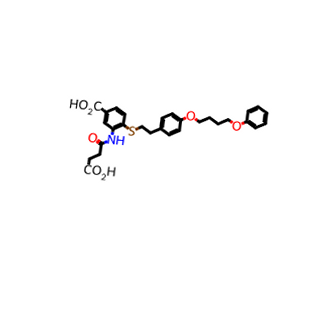 O=C(O)CCC(=O)Nc1cc(C(=O)O)ccc1SCCc1ccc(OCCCCOc2ccccc2)cc1